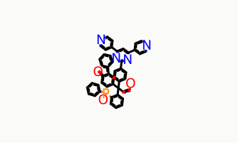 O=P1(c2ccccc2)c2ccccc2C2(c3ccccc3Oc3cc(-c4nc(-c5ccncc5)cc(-c5ccncc5)n4)ccc32)c2cc3c(cc21)oc1ccccc13